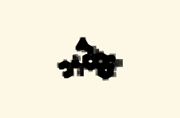 CCN(CC)C(=S)N[C@H]1CC2c3cccc4[nH]cc(c34)C[C@H]2N(CC2CC2)C1